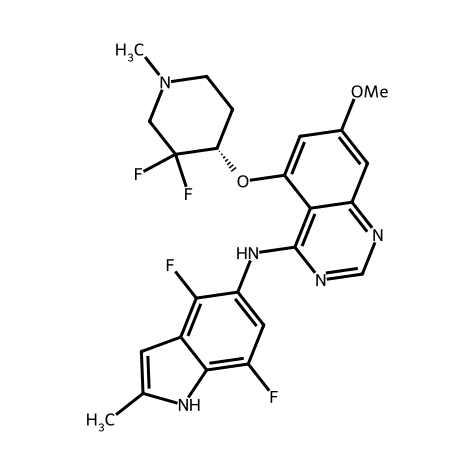 COc1cc(O[C@H]2CCN(C)CC2(F)F)c2c(Nc3cc(F)c4[nH]c(C)cc4c3F)ncnc2c1